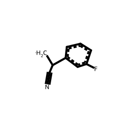 [CH2]C(C#N)c1cccc(F)c1